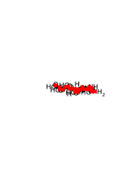 Nc1nc(O)c2c(CCc3ccc(C(=O)N[C@@H](CCC(=O)N[C@@H](CCC(=O)N[C@@H](CCC(=O)O)C(=O)O)C(=O)O)C(=O)O)nc3)c[nH]c2n1